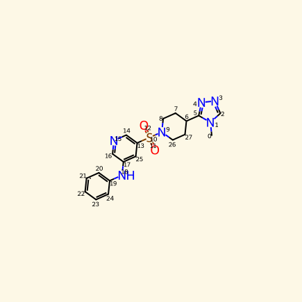 Cn1cnnc1C1CCN(S(=O)(=O)c2cncc(Nc3c[c]ccc3)c2)CC1